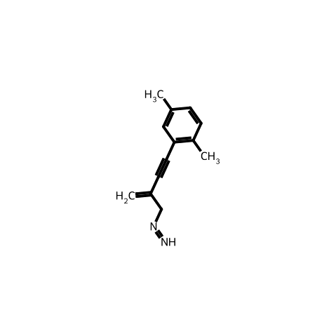 C=C(C#Cc1cc(C)ccc1C)CN=N